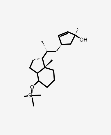 C[C@H](C[C@@H]1C=C[C@@](C)(O)C1)[C@H]1CCC2C(O[Si](C)(C)C)CCC[C@]21C